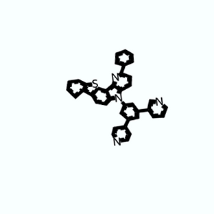 c1ccc(-c2ccc3c(n2)c2c4sc5ccccc5c4ccc2n3-c2cc(-c3ccncc3)cc(-c3cccnc3)c2)cc1